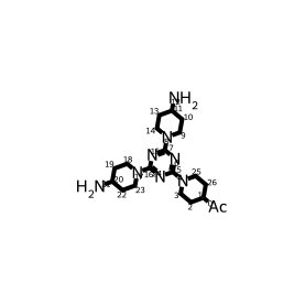 CC(=O)C1CCN(c2nc(N3CCC(N)CC3)nc(N3CCC(N)CC3)n2)CC1